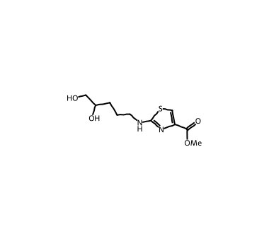 COC(=O)c1csc(NCCCC(O)CO)n1